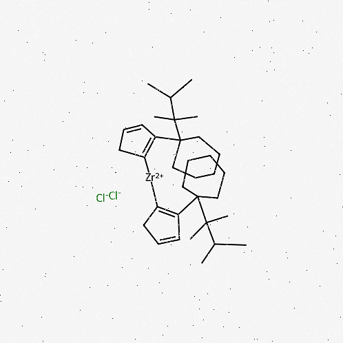 CC(C)C(C)(C)C1(C2=[C]([Zr+2][C]3=C(C4(C(C)(C)C(C)C)CCCCC4)C=CC3)CC=C2)CCCCC1.[Cl-].[Cl-]